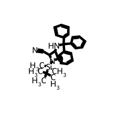 CC(C)(C)[Si](C)(C)N1C(=O)C(NC(c2ccccc2)(c2ccccc2)c2ccccc2)C1C#N